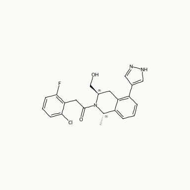 C[C@H]1c2cccc(-c3cn[nH]c3)c2C[C@H](CO)N1C(=O)Cc1c(F)cccc1Cl